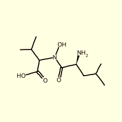 CC(C)C[C@H](N)C(=O)N(O)C(C(=O)O)C(C)C